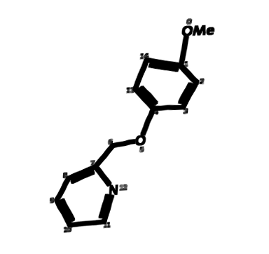 COc1[c]cc(OCc2ccccn2)cc1